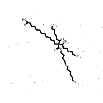 CCCCCCCCCCCCOC(=O)C(CCCCCCCCCCCCC(=O)O)(C(C)CCCCCC)C(C)CCCCCC